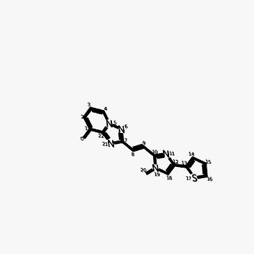 Cc1cccn2nc(/C=C/c3nc(-c4cccs4)cn3C)nc12